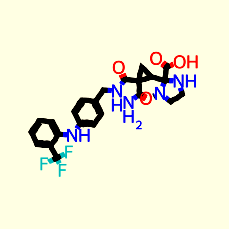 CN1CCNC1(C(=O)O)C1CC1(C(N)=O)C(=O)NCc1ccc(Nc2ccccc2C(F)(F)F)cc1